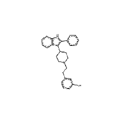 Oc1cccc(CCN2CCC(c3c(-c4ccccc4)[nH]c4ccccc34)CC2)c1